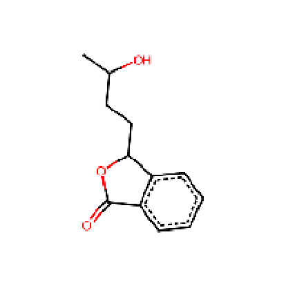 CC(O)CCC1OC(=O)c2ccccc21